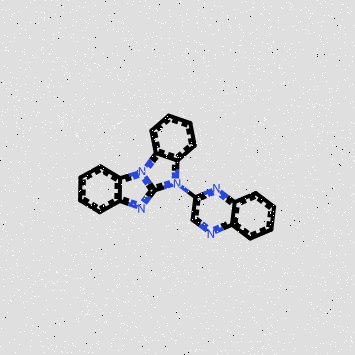 c1ccc2nc(-n3c4ccccc4n4c5ccccc5nc34)cnc2c1